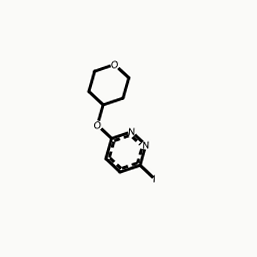 Ic1ccc(OC2CCOCC2)nn1